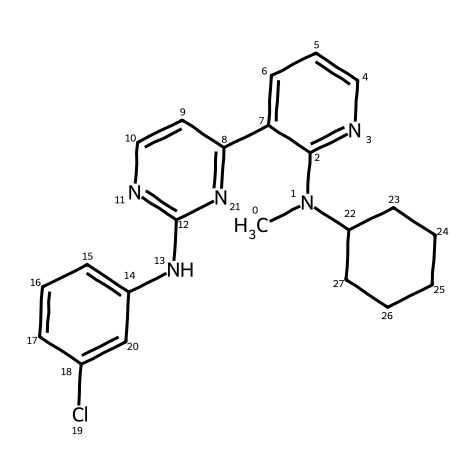 CN(c1ncccc1-c1ccnc(Nc2cccc(Cl)c2)n1)C1CCCCC1